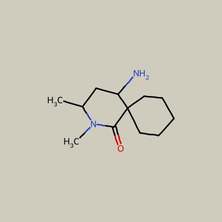 CC1CC(N)C2(CCCCC2)C(=O)N1C